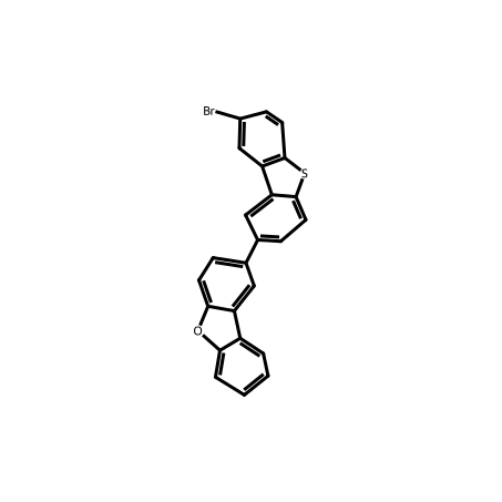 Brc1ccc2sc3ccc(-c4ccc5oc6ccccc6c5c4)cc3c2c1